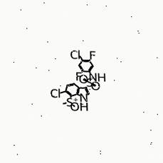 C[S+]([O-])c1c(Cl)ccc2c(S(=O)(=O)Nc3cc(F)c(Cl)cc3F)c[nH]c12